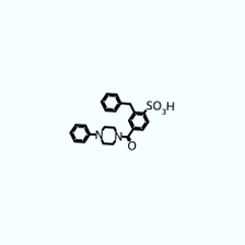 O=C(c1ccc(S(=O)(=O)O)c(Cc2ccccc2)c1)N1CCN(c2ccccc2)CC1